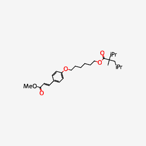 COC(=O)/C=C/c1ccc(OCCCCCCOC(=O)C(C)(CC(C)C)C(C)C)cc1